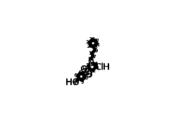 Cl.O=S(=O)(c1ccc(O)cc1)C1CCCN(CCCCc2ccccc2)C1